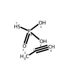 C#CC.O=P(O)(O)S